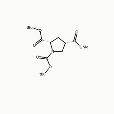 COC(=O)[C@H]1C[C@@H](C(=O)OC(C)(C)C)N(C(=O)OC(C)(C)C)C1